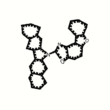 c1ccc2cc3c(cc2c1)c1cc2ccccc2cc1n3-c1nc2c(ccc3oc4ccccc4c32)o1